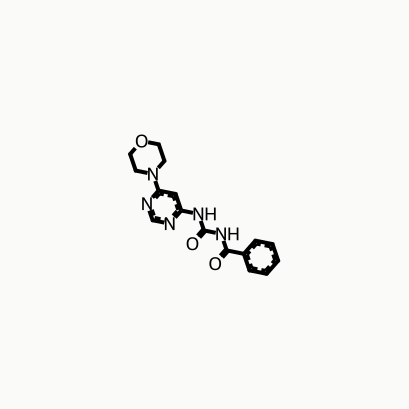 O=C(NC(=O)c1ccccc1)Nc1cc(N2CCOCC2)ncn1